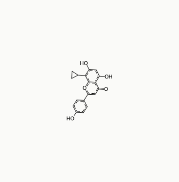 O=c1cc(-c2ccc(O)cc2)oc2c(C3CC3)c(O)cc(O)c12